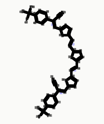 N#C/C(=C\c1ccc(/C=C/c2ccc(/C=C/c3ccc(/C=C(\C#N)c4ccc(C(F)(F)F)cc4)s3)s2)s1)c1ccc(C(F)(F)F)cc1